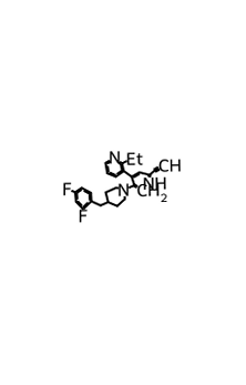 C#CC(=N)/C=C(\C(=C)N1CCC(Cc2ccc(F)cc2F)CC1)c1cccnc1CC